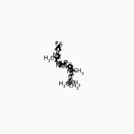 Cc1nc(N2CC3C(C2)C3(F)F)ccc1Cn1cc(C(=O)N[C@@H]2CCc3c2nn(COCCS(C)(C)C)c3C)cn1